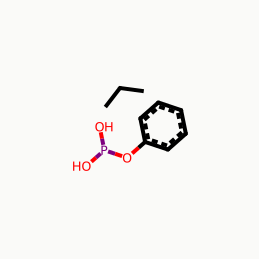 CCC.OP(O)Oc1ccccc1